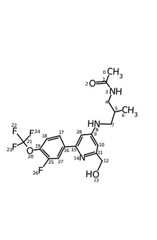 CC(=O)NCC(C)CNc1cc(CO)nc(-c2ccc(OC(F)(F)F)c(F)c2)c1